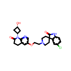 O=C1CCc2cc(OCCN3CCC4(CC3)C(=O)Nc3ccc(Cl)cc34)cnc2N1[C@H]1C[C@@H](O)C1